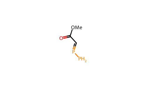 COC(=O)/C=P/P